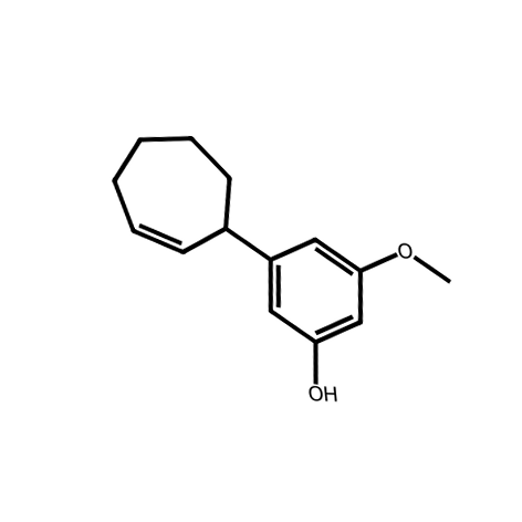 COc1cc(O)cc(C2C=CCCCC2)c1